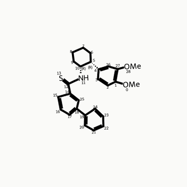 COc1ccc([C@H]2CCCC[C@H]2NC(=S)c2cccc(-c3ccccc3)c2)cc1OC